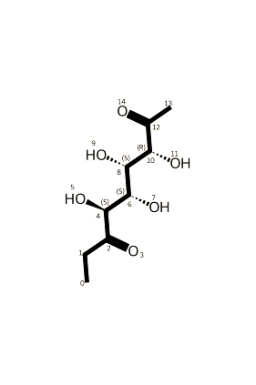 CCC(=O)[C@@H](O)[C@@H](O)[C@H](O)[C@@H](O)C(C)=O